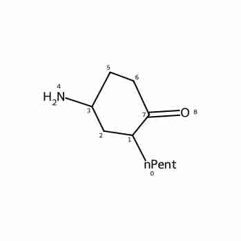 CCCCCC1CC(N)CCC1=O